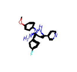 COc1ccc(N2NC(c3ccncc3)=CC2(N)c2ccc(F)cc2)cc1